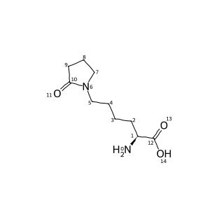 N[C@@H](CCCCN1CCCC1=O)C(=O)O